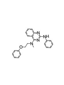 CN(CCOc1ccccc1)c1nc(Nc2ccccc2)nc2ccccc12